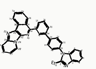 CCc1nc2ccccc2n1-c1ccc(-c2cccc(-c3nc4c(nc5ccccn54)c4ccccc34)c2)cc1